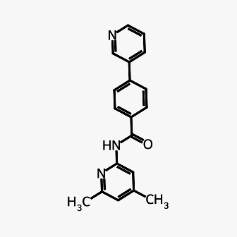 Cc1cc(C)nc(NC(=O)c2ccc(-c3cccnc3)cc2)c1